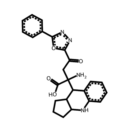 NC(CC(=O)c1nnc(-c2ccccc2)o1)(C(=O)O)C1c2ccccc2NC2CCCC21